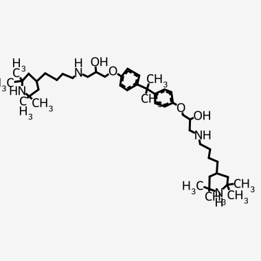 CC1(C)CC(CCCCNCC(O)COc2ccc(C(C)(C)c3ccc(OCC(O)CNCCCCC4CC(C)(C)NC(C)(C)C4)cc3)cc2)CC(C)(C)N1